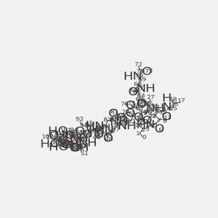 CCC(CNC(=O)C(C)CC(C)C(=O)NCC(C)C)CC(C)OC[C@@H](NC(C)=O)C(OCCC(=O)NCCNC(=O)C(C)CC(C)OC[C@@H](NC(C)=O)C(O)C(O)C(O)OC)C(OCCC(=O)NCCNC(C)=O)C(OC)OCCC(=O)NCCNC(=O)C(C)CC(C)OC[C@@H](NC(C)=O)C(O)C(O)C(O)OC